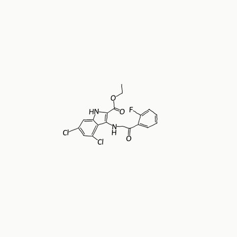 CCOC(=O)c1[nH]c2cc(Cl)cc(Cl)c2c1NCC(=O)c1ccccc1F